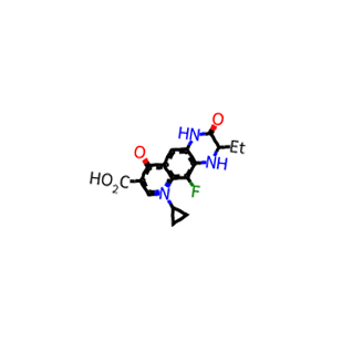 CCC1Nc2c(cc3c(=O)c(C(=O)O)cn(C4CC4)c3c2F)NC1=O